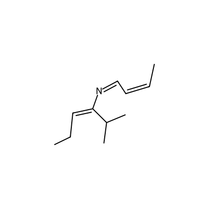 C\C=C/C=N\C(=C\CC)C(C)C